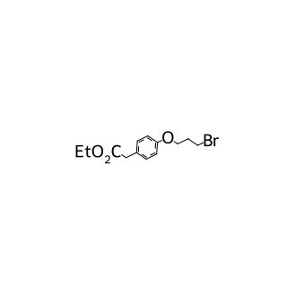 CCOC(=O)Cc1ccc(OCCCBr)cc1